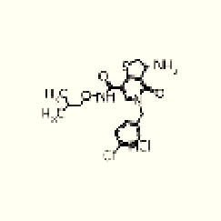 CC(C)CONC(=O)c1cn(Cc2ccc(Cl)cc2)c(=O)c2c1SC[C@@H]2N.Cl